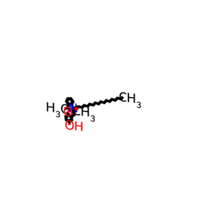 CCCCCCCCCCCCCCCCCCN1c2ccccc2C(C)C12Oc1ccc(O)cc1C=C2C